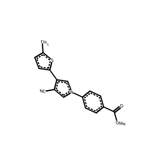 COC(=O)c1ccc(-n2cc(C#N)c(-c3ccc(C)s3)c2)cc1